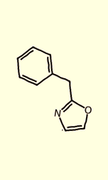 [c]1coc(Cc2ccccc2)n1